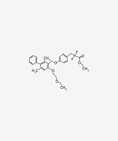 CCOCCOc1cc(C)c(-c2ccccc2)c(C)c1COc1ccc(CC(F)(F)C(=O)OCC)cc1